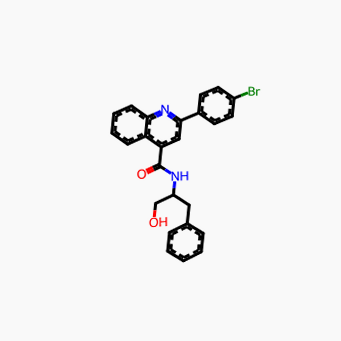 O=C(NC(CO)Cc1ccccc1)c1cc(-c2ccc(Br)cc2)nc2ccccc12